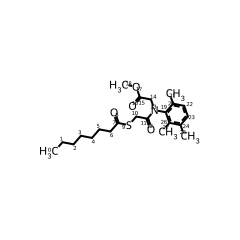 CCCCCCCC(=O)SCC(=O)N(CC(=O)OC)c1c(C)ccc(C)c1C